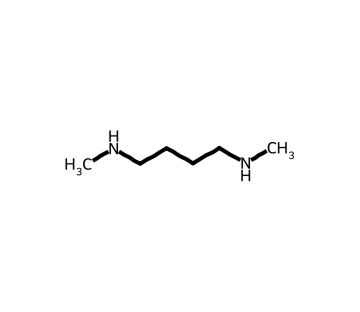 CNCCCCNC